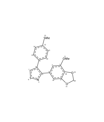 COc1cc(-c2nscc2-c2ccc(SC)cc2)cc2c1OCO2